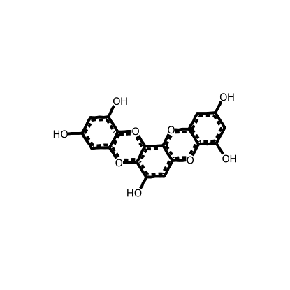 Oc1cc(O)c2oc3cc(O)c4oc5cc(O)cc(O)c5oc4c3oc2c1